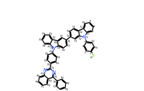 Fc1ccc(-n2c3ccccc3c3ccc(-c4ccc5c(c4)c4ccccc4n5-c4ccc(-c5nc(-c6ccccc6)c6ccccc6n5)cc4)cc32)cc1